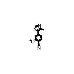 COc1cc(-c2scnc2C)ccc1C#N